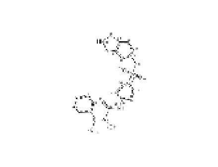 CC(c1ccccc1)N(O)C(=O)Nc1ccc(S(=O)(=O)Cc2ccc3c(c2)CNC3)cc1